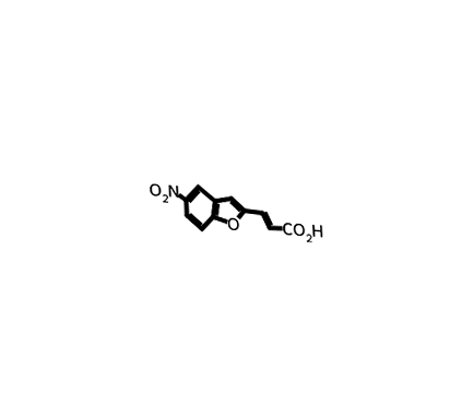 O=C(O)C=Cc1cc2cc([N+](=O)[O-])ccc2o1